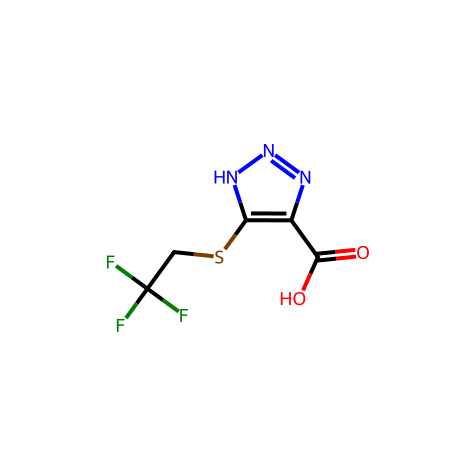 O=C(O)c1nn[nH]c1SCC(F)(F)F